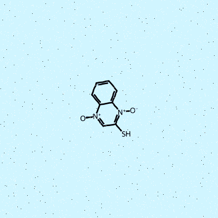 [O-][n+]1cc(S)[n+]([O-])c2ccccc21